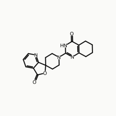 O=C1OC2(CCN(c3nc4c(c(=O)[nH]3)CCCC4)CC2)c2ncccc21